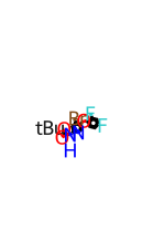 CC(C)(C)OC(=O)Nc1cc(Br)c(Oc2ccc(F)cc2F)cn1